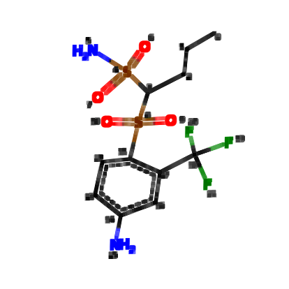 CCCC(S(N)(=O)=O)S(=O)(=O)c1ccc(N)cc1C(F)(F)F